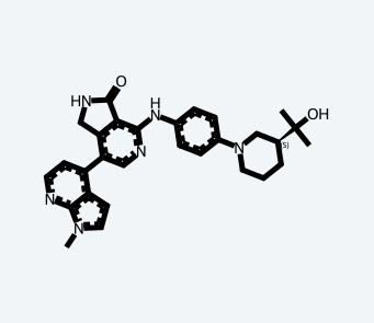 Cn1ccc2c(-c3cnc(Nc4ccc(N5CCC[C@H](C(C)(C)O)C5)cc4)c4c3CNC4=O)ccnc21